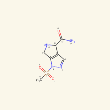 CS(=O)(=O)n1ncc2c1CNC2C(N)=O